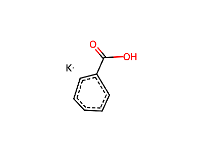 O=C(O)c1ccccc1.[K]